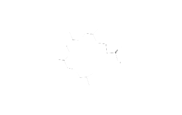 CC(C)COCC(C)OCC(C)OCC(C)OCCC(=O)O